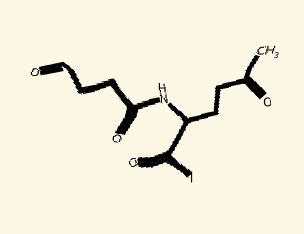 CC(=O)CCC(NC(=O)CCC=O)C(=O)I